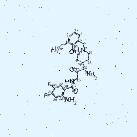 Cc1cccc(CN2CCC(C(N)C(=O)CNC(=O)c3cc(F)c(F)cc3N)CC2)c1O